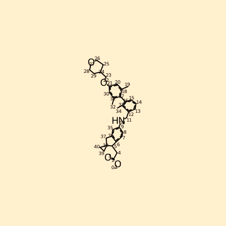 COC(=O)CC1c2ccc(NCc3cccc(-c4c(C)cc(OCC5CCOCC5)cc4C)c3C)cc2CC12CC2